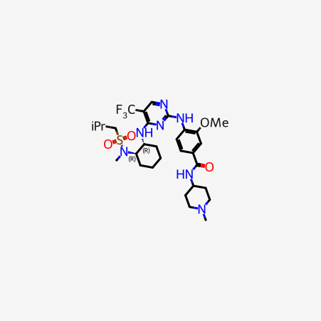 COc1cc(C(=O)NC2CCN(C)CC2)ccc1Nc1ncc(C(F)(F)F)c(N[C@@H]2CCCC[C@H]2N(C)S(=O)(=O)CC(C)C)n1